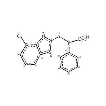 O=C(O)C(Sc1nc2c(Cl)cccc2s1)c1ccccc1